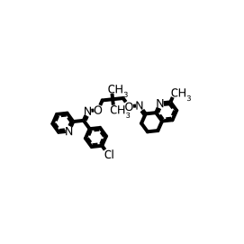 Cc1ccc2c(n1)/C(=N/OCC(C)(C)CO/N=C(\c1ccc(Cl)cc1)c1ccccn1)CCC2